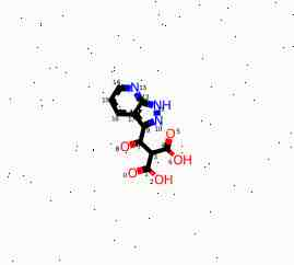 O=C(O)C(C(=O)O)C(=O)c1n[nH]c2ncccc12